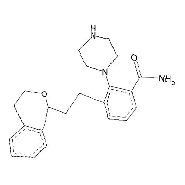 NC(=O)c1cccc(CCC2OCCc3ccccc32)c1N1CCNCC1